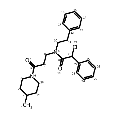 CC1CCN(C(=O)CCN(CCc2ccccc2)C(=O)C(Cl)c2ccccc2)CC1